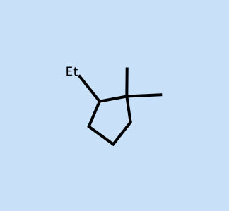 CC[C]1CCCC1(C)C